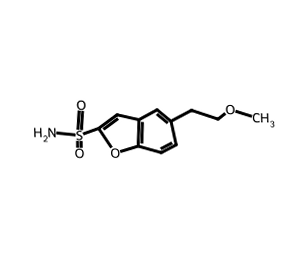 COCCc1ccc2oc(S(N)(=O)=O)cc2c1